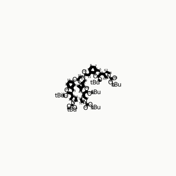 CC(C)(C)OC(=O)[C@@H](Cc1cccc(CC(=O)N(CCOc2cccc(C[C@H](C(=O)OC(C)(C)C)[C@H]3CCN(C(=O)OC(C)(C)C)C3)c2)Cc2cc(C[C@H](C(=O)OC(C)(C)C)[C@H]3CCN(C(=O)OC(C)(C)C)C3)cs2)c1)[C@H]1CCN(C(=O)OC(C)(C)C)C1